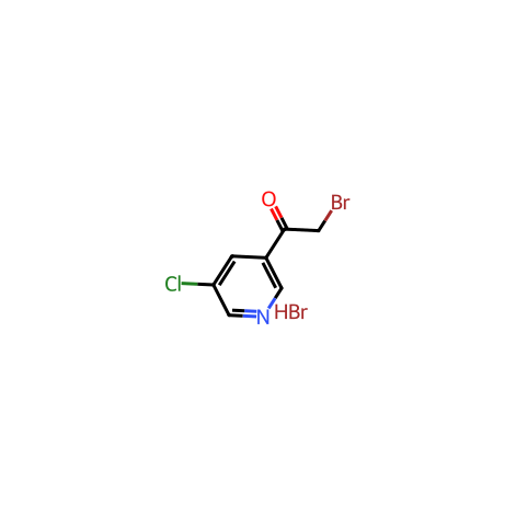 Br.O=C(CBr)c1cncc(Cl)c1